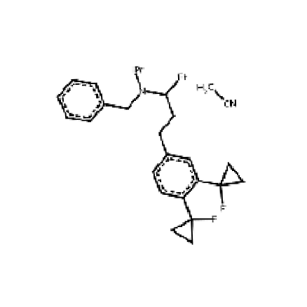 CC#N.CCC(CCc1ccc(C2(F)CC2)c(C2(F)CC2)c1)N(Cc1ccccc1)C(C)C